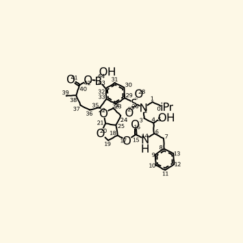 CC(C)CN(CC(O)C(Cc1ccccc1)NC(=O)OC1COC2OCCC12)S(=O)(=O)c1ccc2c(c1)CCCC(C)C(=O)OB2O